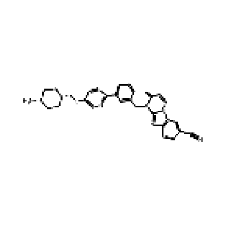 N#Cc1ccc2nc3n(Cc4cccc(-c5ncc(OC[C@H]6CC[C@@H](N)CC6)cn5)c4)c(=O)ccn3c2c1